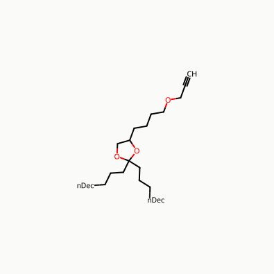 C#CCOCCCCC1COC(CCCCCCCCCCCCC)(CCCCCCCCCCCCC)O1